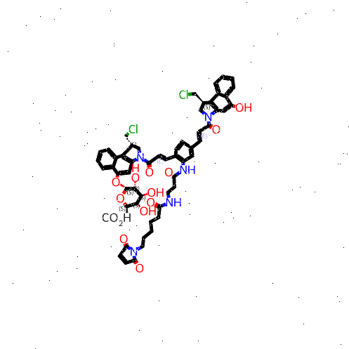 O=C(CCCCCN1C(=O)C=CC1=O)NCCC(=O)Nc1cc(/C=C/C(=O)N2C[C@@H](CCl)c3c2cc(O)c2ccccc32)ccc1/C=C/C(=O)N1C[C@@H](CCl)c2c1cc(O[C@@H]1O[C@H](C(=O)O)[C@@H](O)[C@H](O)[C@H]1O)c1ccccc21